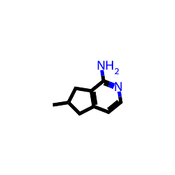 CC1Cc2ccnc(N)c2C1